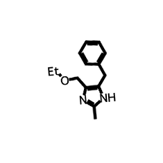 CCOCc1nc(C)[nH]c1Cc1ccccc1